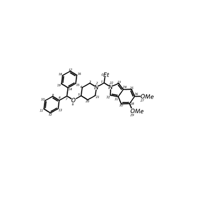 CCC(N1CCC(OC(c2ccccc2)c2ccccc2)CC1)n1cc2cc(OC)c(OC)cc2c1